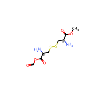 COC(=O)[C@@H](N)CSSC[C@H](N)C(=O)OC=O